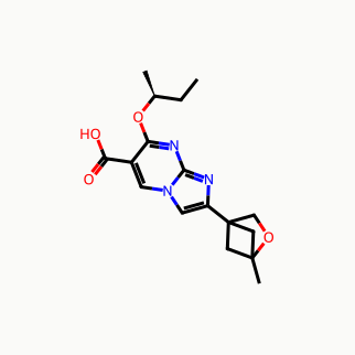 CC[C@H](C)Oc1nc2nc(C34COC(C)(C3)C4)cn2cc1C(=O)O